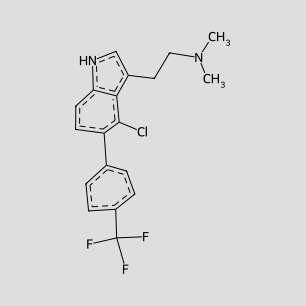 CN(C)CCc1c[nH]c2ccc(-c3ccc(C(F)(F)F)cc3)c(Cl)c12